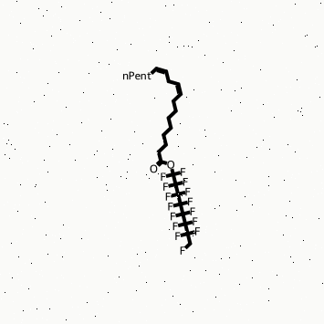 CCCCC/C=C\C/C=C\CCCCCCCC(=O)OC(F)(F)C(F)(F)C(F)(F)C(F)(F)C(F)(F)C(F)(F)C(F)(F)CF